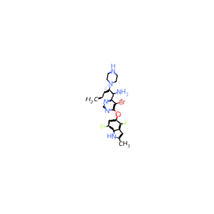 C=C/C=C(\C(N)c1ncnc(Oc2cc(F)c3[nH]c(C)cc3c2F)c1Br)N1CCNCC1